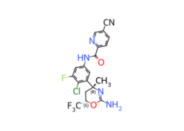 C[C@]1(c2cc(NC(=O)c3ccc(C#N)cn3)cc(F)c2Cl)C[C@@H](C(F)(F)F)OC(N)=N1